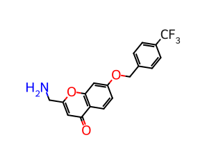 NCc1cc(=O)c2ccc(OCc3ccc(C(F)(F)F)cc3)cc2o1